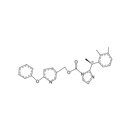 Cc1cccc([C@H](C)c2nccn2C(=O)OCc2ccc(Oc3ccccc3)nc2)c1C